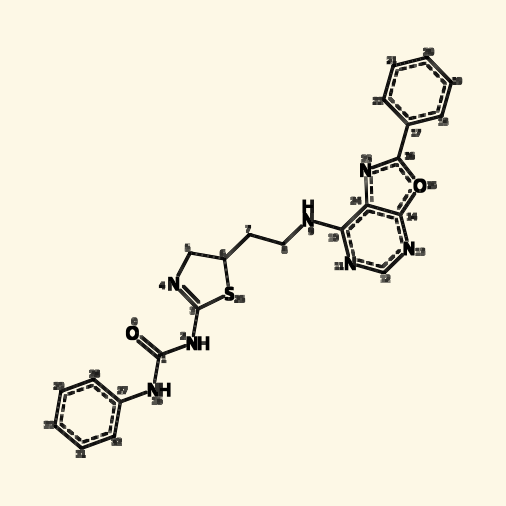 O=C(NC1=NCC(CCNc2ncnc3oc(-c4ccccc4)nc23)S1)Nc1ccccc1